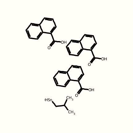 CC(C)[CH2][SnH].O=C(O)c1cccc2ccccc12.O=C(O)c1cccc2ccccc12.O=C(O)c1cccc2ccccc12